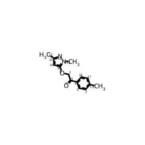 Cc1ccc(C(=O)COc2cc(C)nn2C)cc1